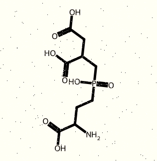 NC(CCP(=O)(O)CC(CC(=O)O)C(=O)O)C(=O)O